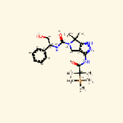 CC1(C)c2[nH]nc(NC(=O)C(C)(C)S(C)(C)C)c2CN1C(=O)N[C@H](CO)c1ccccc1